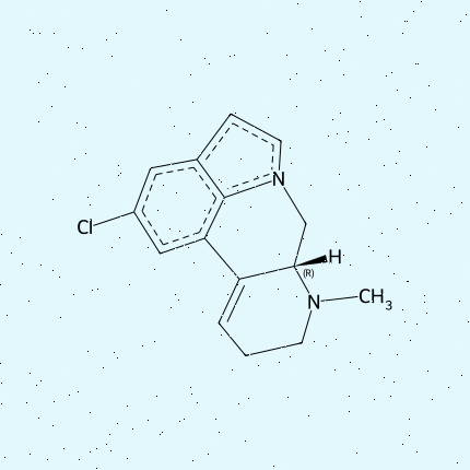 CN1CCC=C2c3cc(Cl)cc4ccn(c34)C[C@@H]21